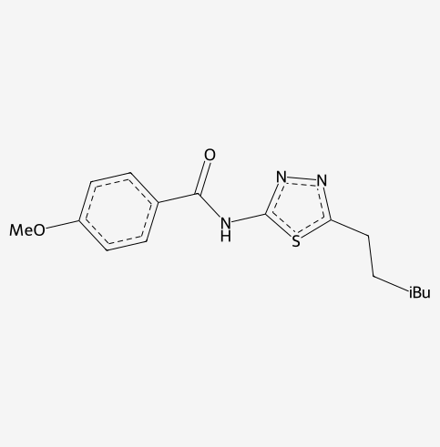 CCC(C)CCc1nnc(NC(=O)c2ccc(OC)cc2)s1